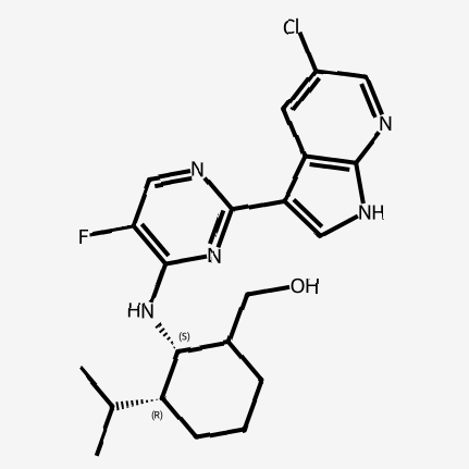 CC(C)[C@H]1CCCC(CO)[C@H]1Nc1nc(-c2c[nH]c3ncc(Cl)cc23)ncc1F